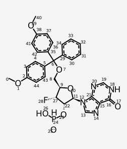 COc1ccc(C(OC[C@H]2O[C@@H](n3cnc4c(=O)[nH]cnc43)[C@H](O[PH](=O)O)[C@@H]2F)(c2ccccc2)c2ccc(OC)cc2)cc1